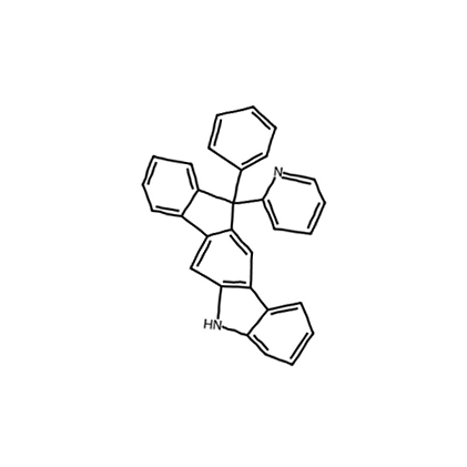 c1ccc(C2(c3ccccn3)c3ccccc3-c3cc4[nH]c5ccccc5c4cc32)cc1